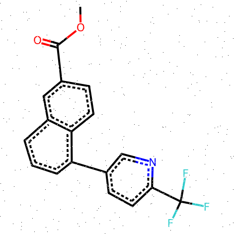 COC(=O)c1ccc2c(-c3ccc(C(F)(F)F)nc3)cccc2c1